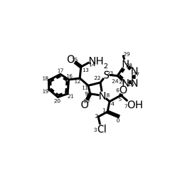 C=C(CCl)C(C(=O)O)N1C(=O)C(C(C(N)=O)c2ccccc2)C1Sc1nnnn1C